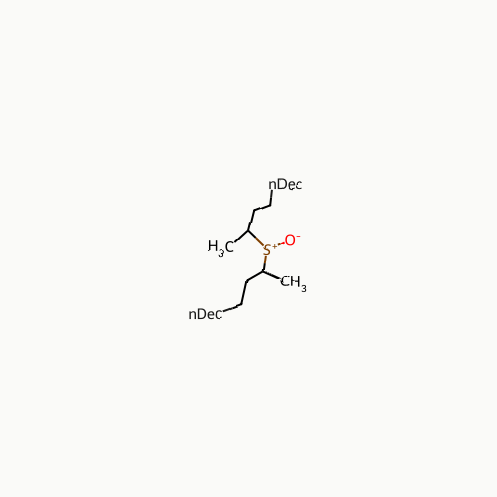 CCCCCCCCCCCCC(C)[S+]([O-])C(C)CCCCCCCCCCCC